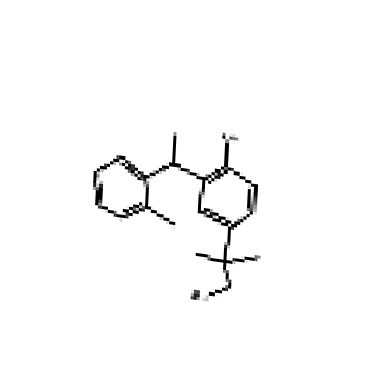 Cc1ccccc1C(C)c1cc(C(C)(C)CC(C)(C)C)ccc1O